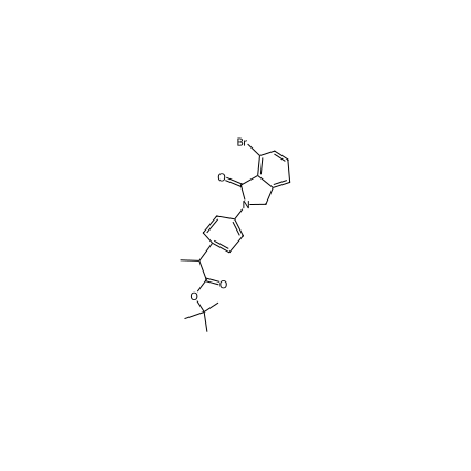 CC(C(=O)OC(C)(C)C)c1ccc(N2Cc3cccc(Br)c3C2=O)cc1